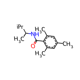 Cc1cc(C)c(C(=O)NC(C)C(C)C)c(C)c1